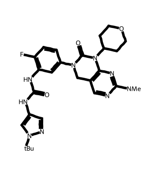 CNc1ncc2c(n1)N(C1CCOCC1)C(=O)N(c1ccc(F)c(NC(=O)Nc3cnn(C(C)(C)C)c3)c1)C2